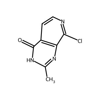 Cc1nc2c(Cl)nccc2c(=O)[nH]1